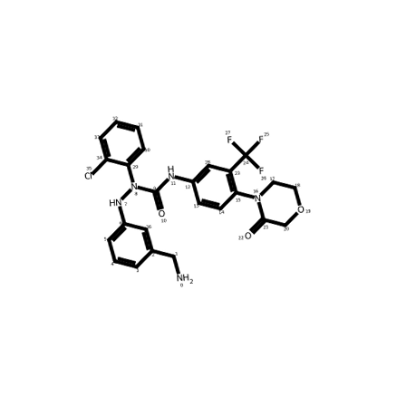 NCc1cccc(NN(C(=O)Nc2ccc(N3CCOCC3=O)c(C(F)(F)F)c2)c2ccccc2Cl)c1